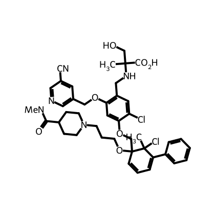 CNC(=O)C1CCN(CCCOC2(COc3cc(OCc4cncc(C#N)c4)c(CNC(C)(CO)C(=O)O)cc3Cl)C=CC=C(c3ccccc3)C2(C)Cl)CC1